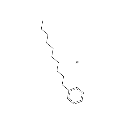 CCCCCCCCCCc1cc[c]cc1.[LiH]